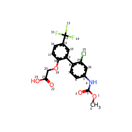 COC(=O)Nc1ccc(-c2cc(C(F)(F)F)ccc2OCC(=O)O)c(Cl)c1